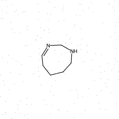 C1=N\CNCCCC/1